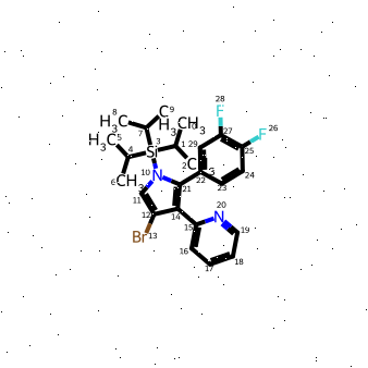 CC(C)[Si](C(C)C)(C(C)C)n1cc(Br)c(-c2ccccn2)c1-c1ccc(F)c(F)c1